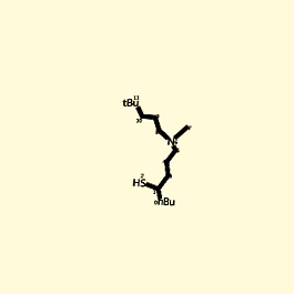 CCCCC(S)CCCN(C)CCCC(C)(C)C